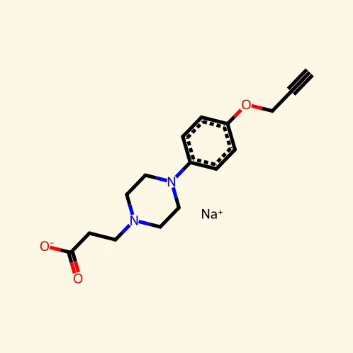 C#CCOc1ccc(N2CCN(CCC(=O)[O-])CC2)cc1.[Na+]